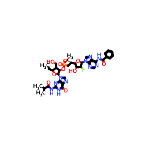 CCC1OC(n2cnc3c(=O)[nH]c(NC(=O)C(C)C)nc32)C(OP(=O)(CCC2OC(n3cnc4c(NC(=O)c5ccccc5)ncnc43)C(F)C2O)OC)C1CO